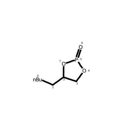 CCCCCC1CO[P](=O)O1